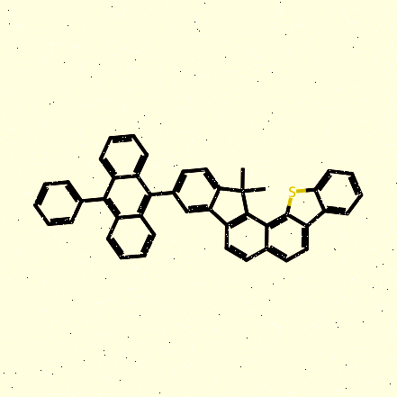 CC1(C)c2ccc(-c3c4ccccc4c(-c4ccccc4)c4ccccc34)cc2-c2ccc3ccc4c5ccccc5sc4c3c21